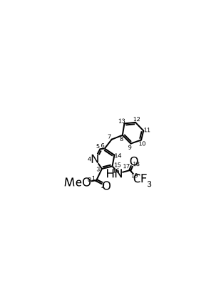 COC(=O)c1ncc(Cc2ccccc2)cc1NC(=O)C(F)(F)F